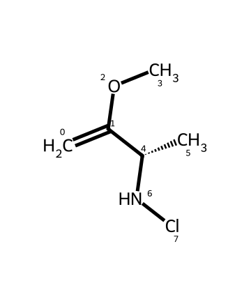 C=C(OC)[C@H](C)NCl